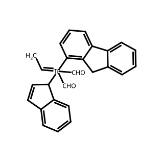 C[CH]=[Ti]([CH]=O)([CH]=O)([c]1cccc2c1Cc1ccccc1-2)[CH]1C=Cc2ccccc21